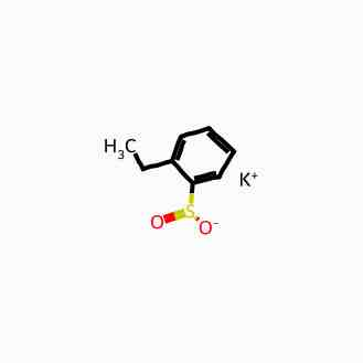 CCc1ccccc1S(=O)[O-].[K+]